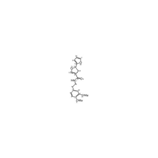 COc1ccc(CCNC(=O)C2=NOC(c3ccco3)C2)cc1OC